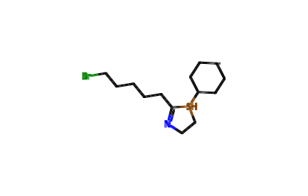 BrCCCCCC1=NCC[SH]1C1CC[CH]CC1